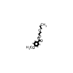 CCCOC[CH]OOC(=O)c1ccc(OC)cc1